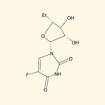 CC[C@H]1O[C@@H](n2cc(F)c(=O)[nH]c2=O)[C@@H](O)C1O